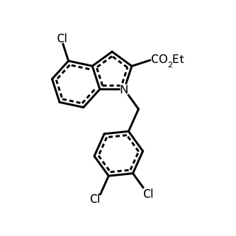 CCOC(=O)c1cc2c(Cl)cccc2n1Cc1ccc(Cl)c(Cl)c1